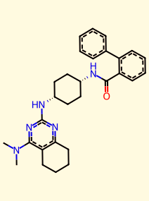 CN(C)c1nc(N[C@H]2CC[C@@H](NC(=O)c3ccccc3-c3ccccc3)CC2)nc2c1CCCC2